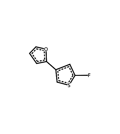 Fc1cc(-c2ccco2)cs1